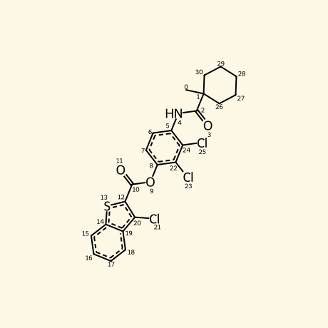 CC1(C(=O)Nc2ccc(OC(=O)c3sc4ccccc4c3Cl)c(Cl)c2Cl)CCCCC1